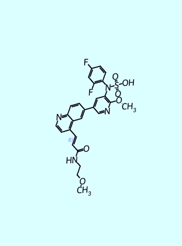 COCCNC(=O)/C=C/c1ccnc2ccc(-c3cnc(OC)c(N(c4ccc(F)cc4F)S(=O)(=O)O)c3)cc12